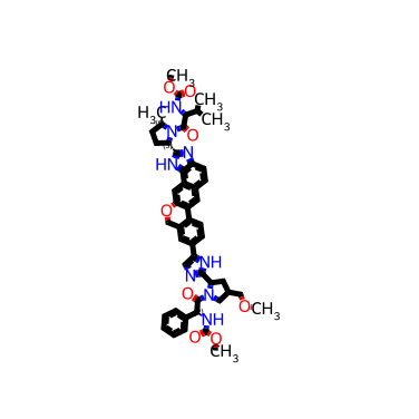 COCC1CC(c2ncc(-c3ccc4c(c3)COc3cc5c(ccc6nc([C@@H]7CC[C@H](C)N7C(=O)C(NC(=O)OC)C(C)C)[nH]c65)cc3-4)[nH]2)N(C(=O)[C@H](NC(=O)OC)c2ccccc2)C1